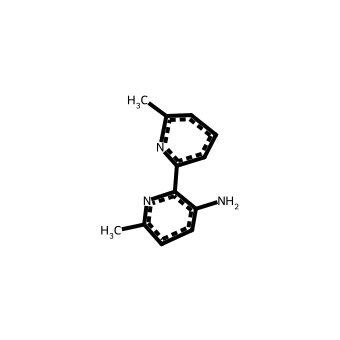 Cc1cccc(-c2nc(C)ccc2N)n1